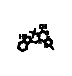 Cc1csc([C@@H](Cc2c[nH]c3ccccc23)N(C(=O)O)C(C)(C)C)n1